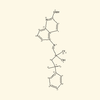 COc1ccc2c(/N=C/C(O)(CC(C)(C)c3ccccc3)C(F)(F)F)cccc2n1